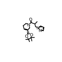 CC(Cn1cccn1)C(=O)N1CCC=C(B2OC(C)(C)C(C)(C)O2)C1